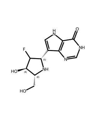 O=c1[nH]cnc2c([C@@H]3N[C@H](CO)[C@@H](O)C3F)c[nH]c12